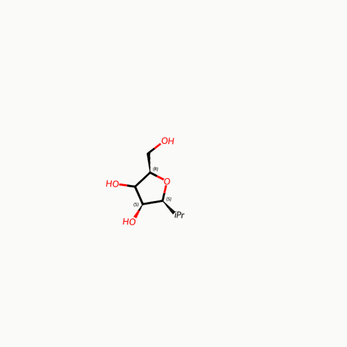 CC(C)[C@@H]1O[C@H](CO)C(O)[C@@H]1O